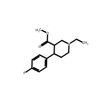 CCN1CCC(c2ccc(F)cc2)C(C(=O)OC)C1